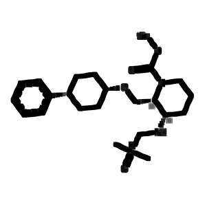 CC(C)(C)OC(=O)N1CCC[C@H](NC[SH](C)(C)=O)[C@@H]1CO[C@H]1CC[C@@H](c2ccccc2)CC1